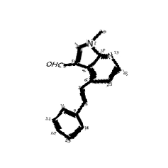 Cn1cc(C=O)c2c(C=Cc3ccccc3)ccnc21